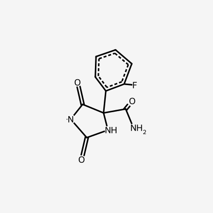 NC(=O)C1(c2ccccc2F)NC(=O)[N]C1=O